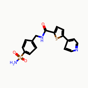 NS(=O)(=O)c1ccc(CNC(=O)c2ccc(-c3ccncc3)s2)cc1